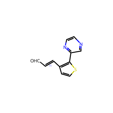 O=C/C=C/c1ccsc1-c1cnccn1